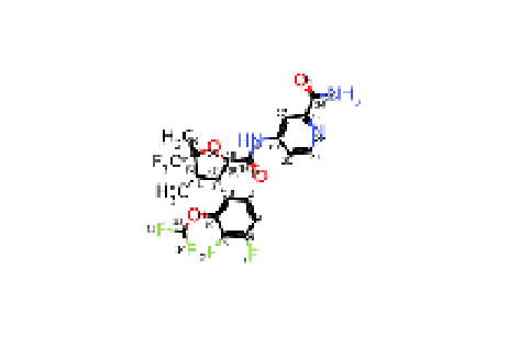 C[C@H]1[C@@H](c2ccc(F)c(F)c2OC(F)F)[C@H](C(=O)Nc2ccnc(C(N)=O)c2)O[C@@]1(C)C(F)(F)F